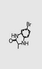 CC1Nc2ccc(Br)cc2NC1=O